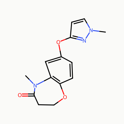 CN1C(=O)CCOc2ccc(Oc3ccn(C)n3)cc21